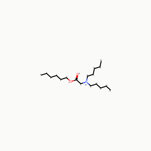 CCCCCCOC(=O)CN(CCCCC)CCCCC